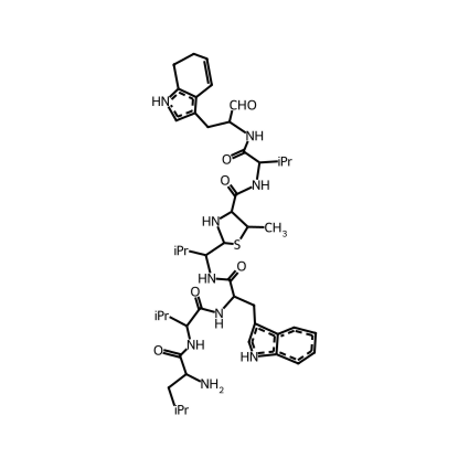 CC(C)CC(N)C(=O)NC(C(=O)NC(Cc1c[nH]c2ccccc12)C(=O)NC(C(C)C)C1NC(C(=O)NC(C(=O)NC(C=O)Cc2c[nH]c3c2C=CCC3)C(C)C)C(C)S1)C(C)C